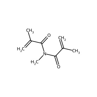 [CH2]N(C(=O)C(=C)C)C(=O)C(=C)C